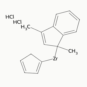 CC1=C[C](C)([Zr][C]2=CC=CC2)c2ccccc21.Cl.Cl